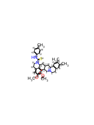 CCC1CN2CCc3cc(C)c(C)cc3C2CC1CC1c2cc(OC)c(OC)cc2CCN1C(=S)Nc1ccc(C)cc1